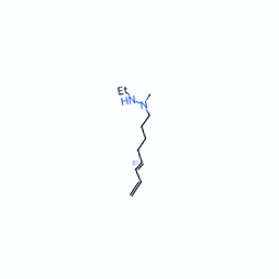 C=C/C=C/CCCCN(C)NCC